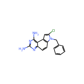 Nc1nc(N)c2c(ccc3c2cc(Cl)n3Cc2ccccc2)n1